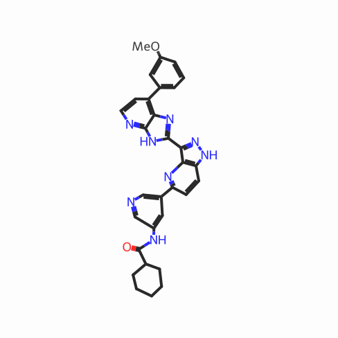 COc1cccc(-c2ccnc3[nH]c(-c4n[nH]c5ccc(-c6cncc(NC(=O)C7CCCCC7)c6)nc45)nc23)c1